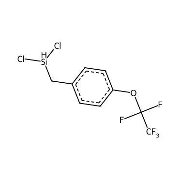 FC(F)(F)C(F)(F)Oc1ccc(C[SiH](Cl)Cl)cc1